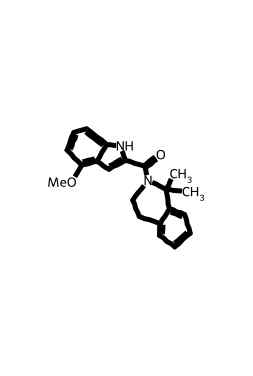 COc1cccc2[nH]c(C(=O)N3CCc4ccccc4C3(C)C)cc12